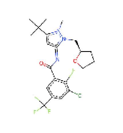 Cn1c(C(C)(C)C)cc(=NC(=O)c2cc(C(F)(F)F)cc(Cl)c2F)n1C[C@H]1CCCO1